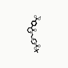 COC(=O)c1ccc(C2CCCN(CCN3CCN(C(=O)OC(C)(C)C)CC3)C2=O)cc1